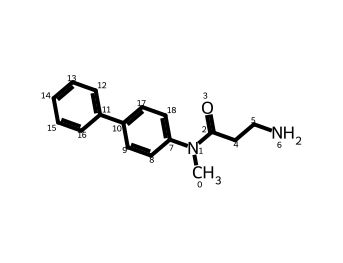 CN(C(=O)CCN)c1ccc(-c2ccccc2)cc1